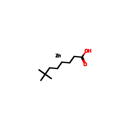 CC(C)(C)CCCCCC(=O)O.[Zn]